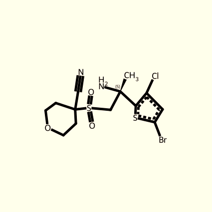 C[C@](N)(CS(=O)(=O)C1(C#N)CCOCC1)c1sc(Br)cc1Cl